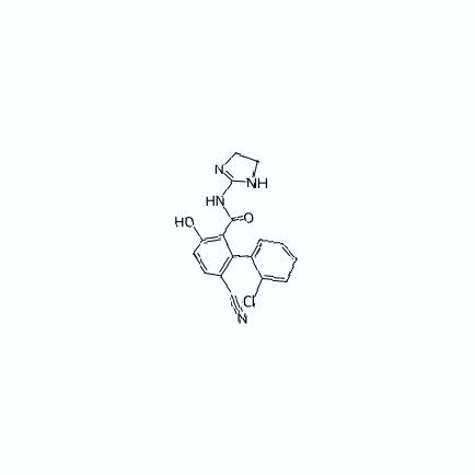 N#Cc1ccc(O)c(C(=O)NC2=NCCN2)c1-c1ccccc1Cl